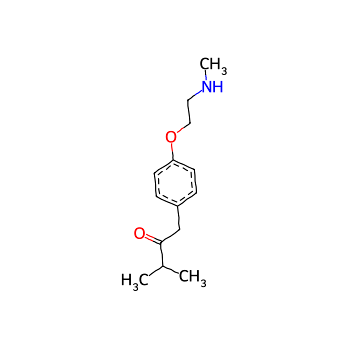 CNCCOc1ccc(CC(=O)C(C)C)cc1